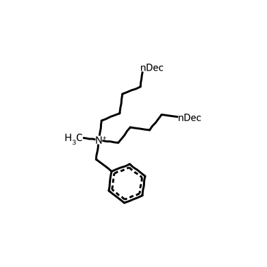 CCCCCCCCCCCCCC[N+](C)(CCCCCCCCCCCCCC)Cc1ccccc1